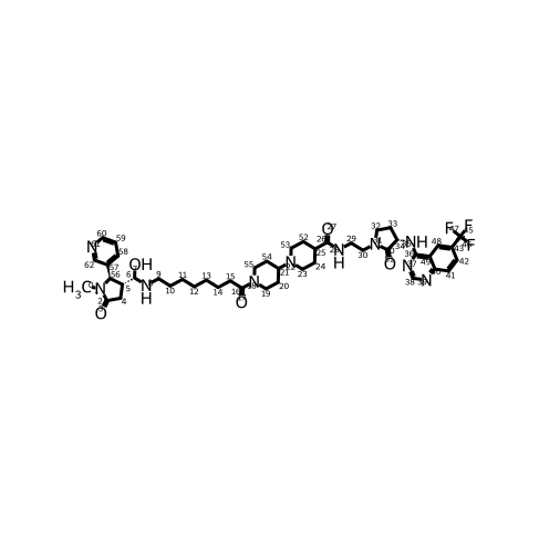 CN1C(=O)C[C@@H](C(O)NCCCCCCCC(=O)N2CCC(N3CCC(C(=O)NCCN4CC[C@H](Nc5ncnc6ccc(C(F)(F)F)cc56)C4=O)CC3)CC2)[C@@H]1c1cccnc1